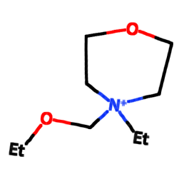 CCOC[N+]1(CC)CCOCC1